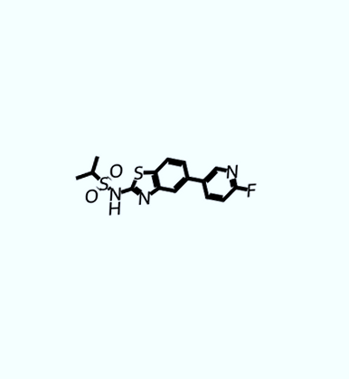 CC(C)S(=O)(=O)Nc1nc2cc(-c3ccc(F)nc3)ccc2s1